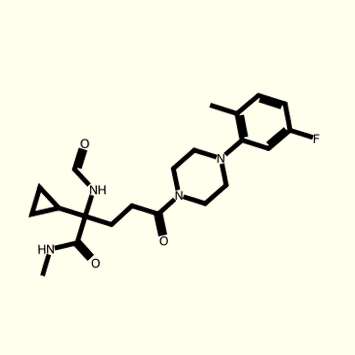 CNC(=O)C(CCC(=O)N1CCN(c2cc(F)ccc2C)CC1)(NC=O)C1CC1